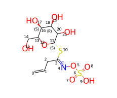 C=CC/C(=N/OS(=O)(=O)O)S[C@@H]1OC(CO)[C@@H](O)[C@@H](O)C1O